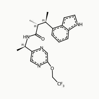 C[C@@H](NC(=O)[C@H](C)[C@@H](C)c1cccc2[nH]ccc12)c1cnc(OCC(F)(F)F)cn1